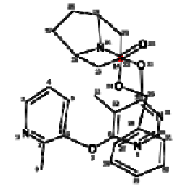 Cc1ncccc1Oc1ncnc(OC2CC3CCC(C2)N3C(=O)OCc2ccccc2)c1C